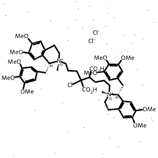 COc1cc2c(cc1OC)[C@@H](Cc1cc(OC)c(OC)c(OC)c1)[N@@+](C)(CCCC(C(=O)O)C(Cl)(CCC[N@@+]1(C)CCc3cc(OC)c(OC)cc3[C@H]1Cc1cc(OC)c(OC)c(OC)c1)C(=O)O)CC2.[Cl-].[Cl-]